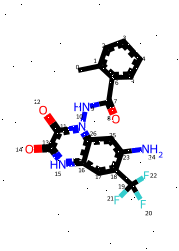 Cc1ccccc1C(=O)Nn1c(=O)c(=O)[nH]c2cc(C(F)(F)F)c(N)cc21